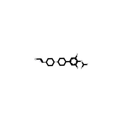 Fc1cc(C2CCC([C@H]3CC[C@H](/C=C/Cl)CC3)CC2)cc(F)c1OC(F)F